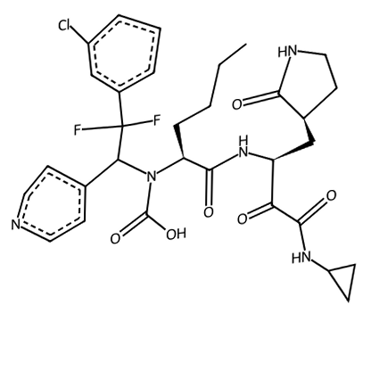 CCCC[C@@H](C(=O)N[C@@H](C[C@@H]1CCNC1=O)C(=O)C(=O)NC1CC1)N(C(=O)O)C(c1ccncc1)C(F)(F)c1cccc(Cl)c1